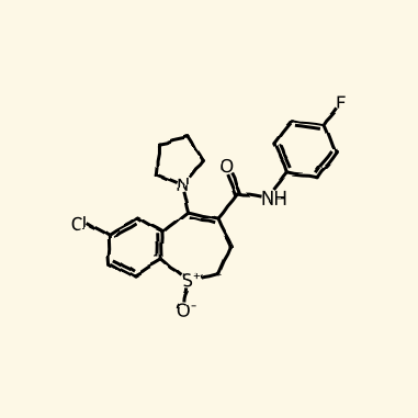 O=C(Nc1ccc(F)cc1)C1=C(N2CCCC2)c2cc(Cl)ccc2[S+]([O-])CC1